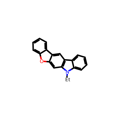 CCn1c2ccccc2c2cc3c(cc21)oc1ccccc13